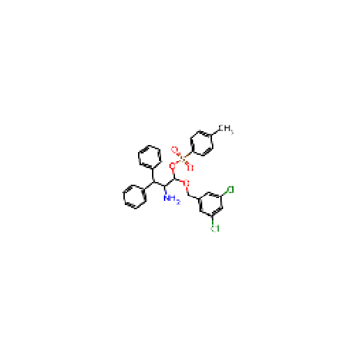 Cc1ccc(S(=O)(=O)OC(OCc2cc(Cl)cc(Cl)c2)C(N)C(c2ccccc2)c2ccccc2)cc1